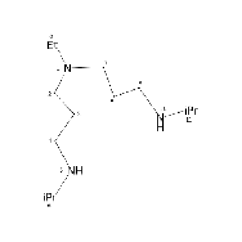 CCN(CCCNC(C)C)CCCNC(C)C